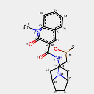 CC(C)n1c(=O)c(C(=O)NC2CC3CCC(C2)N3CC[S+](C)[O-])cc2ccccc21